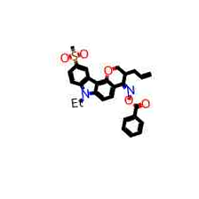 C=CCC1COc2c(ccc3c2c2cc(S(C)(=O)=O)ccc2n3CC)C1=NOC(=O)c1ccccc1